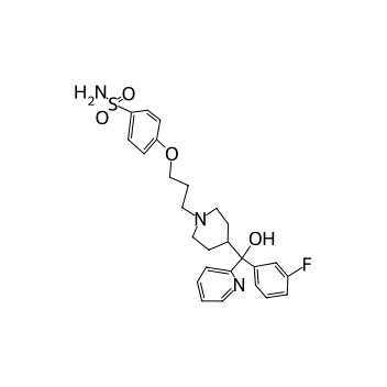 NS(=O)(=O)c1ccc(OCCCN2CCC(C(O)(c3cccc(F)c3)c3ccccn3)CC2)cc1